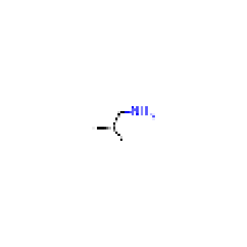 [CH2]C(C)CN